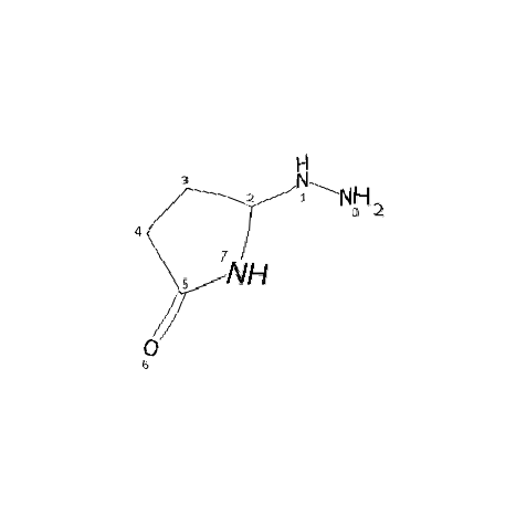 NNC1CCC(=O)N1